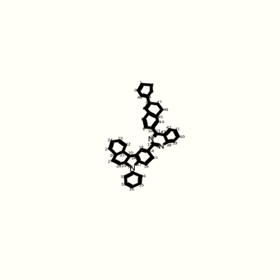 C1=CCCC(C2=Cc3ccc(-c4nc(-c5ccc6c(c5)C5C7C=CC=CC7C=CC5N6c5ccccc5)nc5ccccc45)cc3CC2)=C1